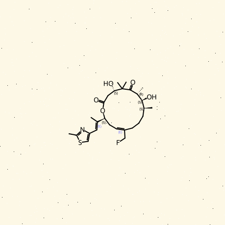 C/C(=C\c1csc(C)n1)[C@@H]1C/C=C(/CF)CCC[C@H](C)[C@H](O)[C@@H](C)C(=O)C(C)(C)[C@@H](O)CC(=O)O1